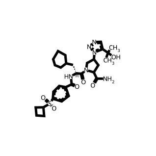 CC(C)(O)c1cnnn1C1CC(C(N)=O)N(C(=O)[C@@H](CC2CCCCC2)NC(=O)c2ccc(S(=O)(=O)C3CCC3)cc2)C1